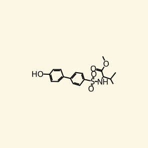 COC(=O)[C@H](NS(=O)(=O)c1ccc(-c2ccc(O)cc2)cc1)C(C)C